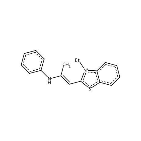 CC[n+]1c(/C=C(\C)Nc2ccccc2)sc2ccccc21